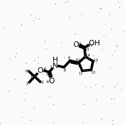 CC(C)(C)OC(=O)NC/C=C1\CCCC1C(=O)O